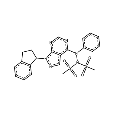 CS(=O)(=O)N(N(c1ccccc1)c1ncnc2c1cnn2C1CCc2[c]cccc21)S(C)(=O)=O